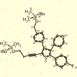 CC(C)(C)[Si](C)(C)OCCC#Cc1sc(-c2ccc(F)cc2)c(-c2ccncc2)c1-c1ccc(CO[Si](C)(C)C(C)(C)C)cc1